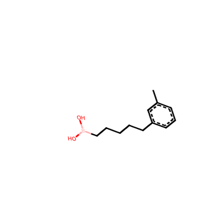 Cc1cccc(CCCCCB(O)O)c1